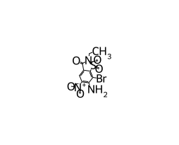 CCN1C(=O)c2cc([N+](=O)[O-])c(N)c(Br)c2S1(=O)=O